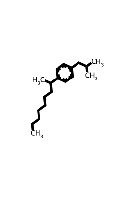 CCCCCCCC(C)c1ccc(CC(C)C)cc1